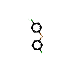 Clc1ccc(Sc2cccc(Cl)c2)cc1